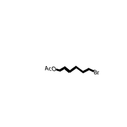 CC(=O)OC/C=C/CCCBr